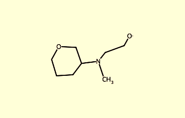 CN(CC[O])C1CCCOC1